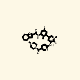 Cc1c(NC(=O)c2cc3c(s2)CCCC3)cc(F)cc1-c1cc(Nc2ccc(C(=O)N3CCN(C)CC3)cn2)c(=O)n(C)c1